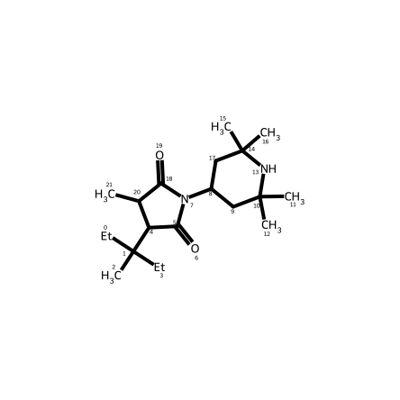 CCC(C)(CC)C1C(=O)N(C2CC(C)(C)NC(C)(C)C2)C(=O)C1C